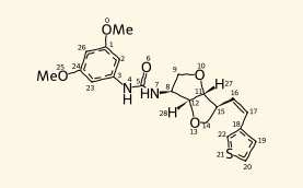 COc1cc(NC(=O)N[C@H]2CO[C@H]3[C@@H]2OC[C@@H]3/C=C\c2ccsc2)cc(OC)c1